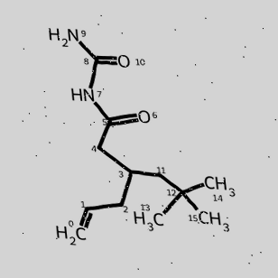 C=CCC(CC(=O)NC(N)=O)CC(C)(C)C